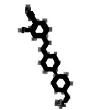 CC[C@H]1CC[C@H](C2CCC(CCc3ccc(C#N)c(F)c3)CC2)CC1